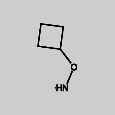 [NH]OC1CCC1